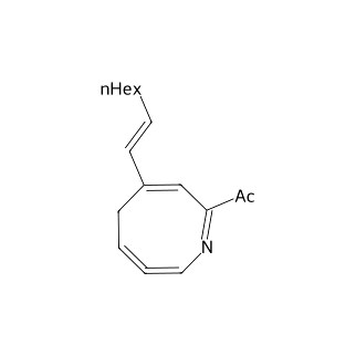 CCCCCC/C=C/C1=C/C(C(C)=O)=N\C=C=CC1